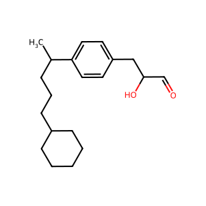 CC(CCCC1CCCCC1)c1ccc(CC(O)C=O)cc1